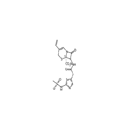 C=CC1=CN2C(=O)C(NC(=O)Cc3cnc(NS(C)(=O)=O)s3)[C@@]2(C(=O)O)SC1